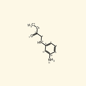 COC(=O)CNc1cccc(N)c1